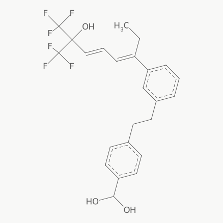 CCC(=CC=CC(O)(C(F)(F)F)C(F)(F)F)c1cccc(CCc2ccc(C(O)O)cc2)c1